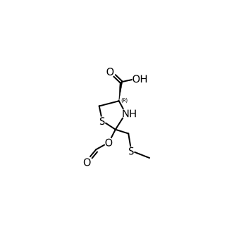 CSCC1(OC=O)N[C@H](C(=O)O)CS1